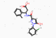 Cc1ccccc1C(CC(=O)O)NC(=O)c1cc(O)n(-c2ccccc2F)n1